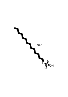 CCCCCCCCCCCCCCOP(=O)([O-])O.[Na+]